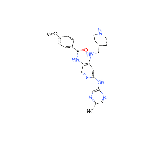 COc1ccc(C(=O)Nc2cnc(Nc3cnc(C#N)cn3)cc2NCC2CCNCC2)cc1